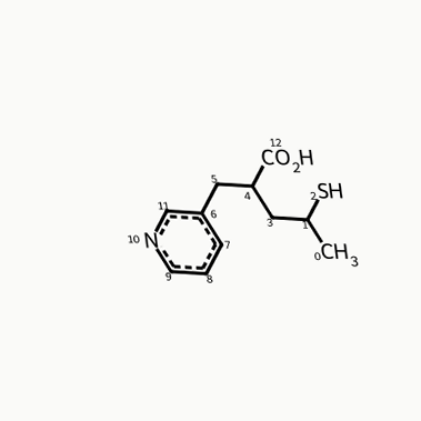 CC(S)CC(Cc1cccnc1)C(=O)O